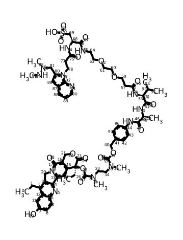 CCc1c2c(nc3ccc(O)cc13)-c1cc3c(c(=O)n1C2)COC(=O)[C@@]3(CC)OC(=O)N(C)CCN(C)C(=O)OCc1ccc(NC(=O)[C@H](C)NC(=O)[C@@H](NC(=O)CCOCCOCCNC(=O)[C@H](CS(=O)(=O)O)NC(=O)CCn2c(CN(C)NC)cc3cccnc32)C(C)C)cc1